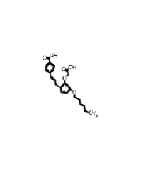 CCCC=CCOc1ccc(CC=Cc2ccc(C(=O)O)cc2)c(OCC(=O)O)c1